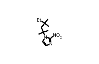 CCC(C)(C)CC(C)(C)n1ccnc1[N+](=O)[O-]